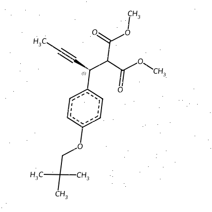 CC#C[C@H](c1ccc(OCC(C)(C)C)cc1)C(C(=O)OC)C(=O)OC